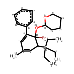 CC[Si](CC)(CC)C1C=C(C)C=C(c2ccccc2)C1(Br)OC1CCCCO1